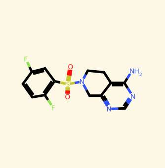 Nc1ncnc2c1CCN(S(=O)(=O)c1cc(F)ccc1F)C2